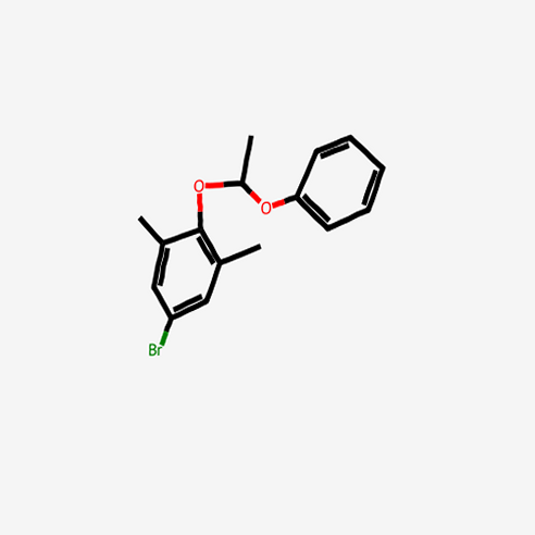 Cc1cc(Br)cc(C)c1OC(C)Oc1ccccc1